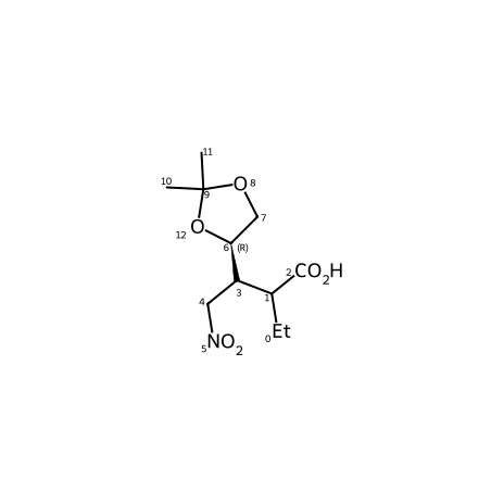 CCC(C(=O)O)C(C[N+](=O)[O-])[C@@H]1COC(C)(C)O1